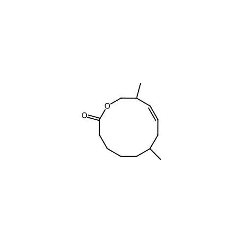 CC1C=CCC(C)CCCCC(=O)OC1